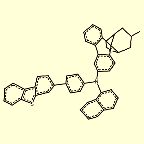 CC1CC2CCCC(C1)C21c2ccccc2-c2cc(N(c3ccc(-c4ccc5c(c4)sc4ccccc45)cc3)c3cccc4ccccc34)ccc21